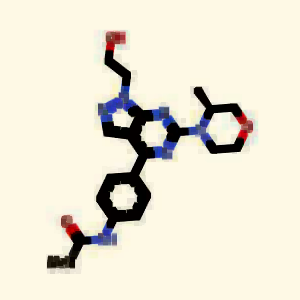 CNC(=O)Nc1ccc(-c2nc(N3CCOC[C@@H]3C)nc3c2cnn3CCO)cc1